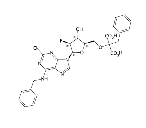 O=C(O)C(Cc1ccccc1)(OC[C@H]1O[C@@H](n2cnc3c(NCc4ccccc4)nc(Cl)nc32)[C@@H](F)[C@@H]1O)C(=O)O